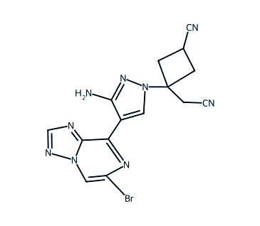 N#CCC1(n2cc(-c3nc(Br)cn4ncnc34)c(N)n2)CC(C#N)C1